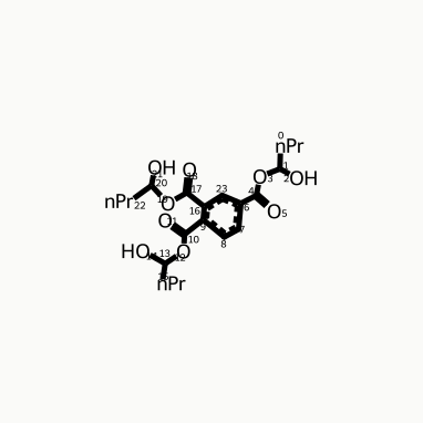 CCCC(O)OC(=O)c1ccc(C(=O)OC(O)CCC)c(C(=O)OC(O)CCC)c1